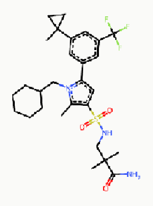 Cc1c(S(=O)(=O)NCC(C)(C)C(N)=O)cc(-c2cc(C(F)(F)F)cc(C3(C)CC3)c2)n1CC1CCCCC1